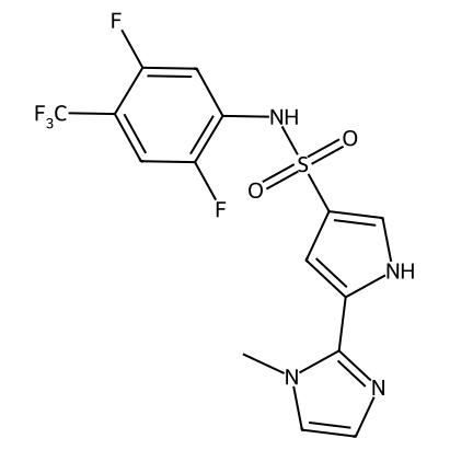 Cn1ccnc1-c1cc(S(=O)(=O)Nc2cc(F)c(C(F)(F)F)cc2F)c[nH]1